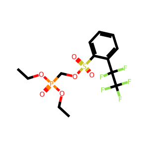 CCOP(=O)(COS(=O)(=O)c1ccccc1C(F)(F)C(F)(F)F)OCC